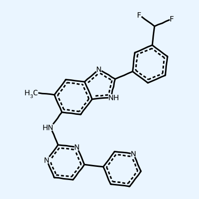 Cc1cc2nc(-c3cccc(C(F)F)c3)[nH]c2cc1Nc1nccc(-c2cccnc2)n1